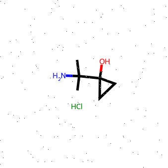 CC(C)(N)C1(O)CC1.Cl